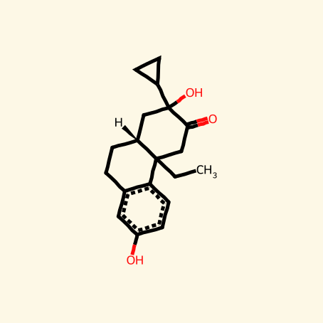 CCC12CC(=O)C(O)(C3CC3)C[C@H]1CCc1cc(O)ccc12